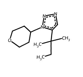 CCC(C)(C)c1cnnn1C1CCOCC1